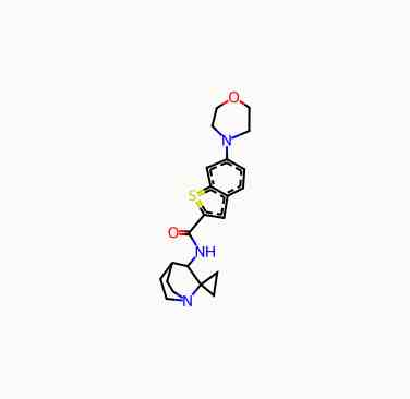 O=C(NC1C2CCN(CC2)C12CC2)c1cc2ccc(N3CCOCC3)cc2s1